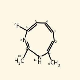 Cc1ccccc(F)nc(C)[nH]1